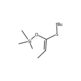 CC=C(O[Si](C)(C)C)SC(C)(C)C